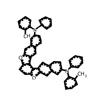 Cc1ccccc1N(c1ccccc1)c1ccc2cc3c(cc2c1)oc1ccc2oc4cc5cc(N(c6ccccc6)c6ccccc6C)ccc5cc4c2c13